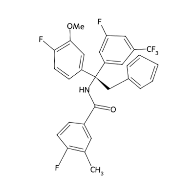 COc1cc([C@@](Cc2ccccc2)(NC(=O)c2ccc(F)c(C)c2)c2cc(F)cc(C(F)(F)F)c2)ccc1F